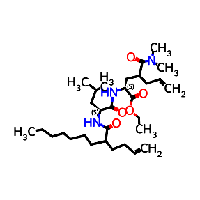 C=CCCC(CCCCCCC)C(=O)N[C@@H](CC(C)C)C(=O)N[C@@H](CC(CC=C)C(=O)N(C)C)C(=O)OCC